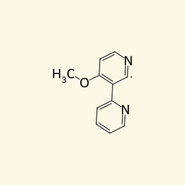 COc1ccn[c]c1-c1ccccn1